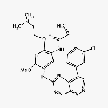 C=CC(=O)Nc1cc(Nc2ncc3cncc(-c4cccc(Cl)c4)c3n2)c(OC)cc1OCCN(C)C